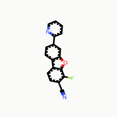 N#Cc1ccc2c(oc3cc(-c4ccccn4)ccc32)c1F